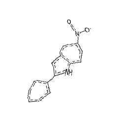 O=[N+]([O-])c1ccc2[nH]c(-c3ccccc3)cc2c1